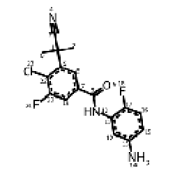 CC(C)(C#N)c1cc(C(=O)Nc2cc(N)ccc2F)cc(F)c1Cl